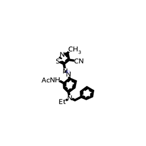 CCN(Cc1ccccc1)c1ccc(/N=N/c2snc(C)c2C#N)c(NC(C)=O)c1